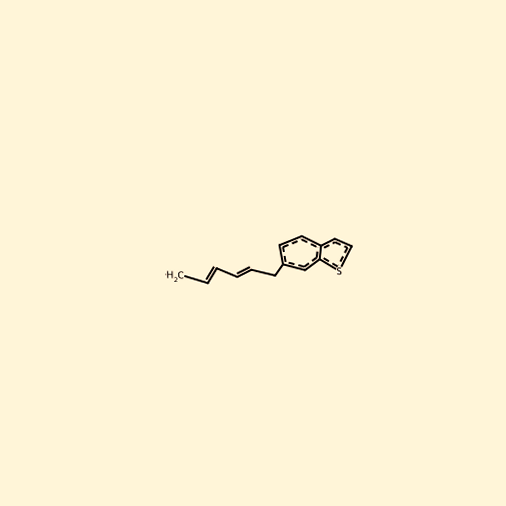 [CH2]C=CC=CCc1ccc2ccsc2c1